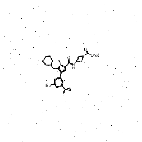 COC(=O)[C@H]1C[C@H](NC(=O)c2cc(-c3cc(C(C)(C)C)cc(C4(C)CC4)c3)c(CC3CCCCC3)n2C)C1